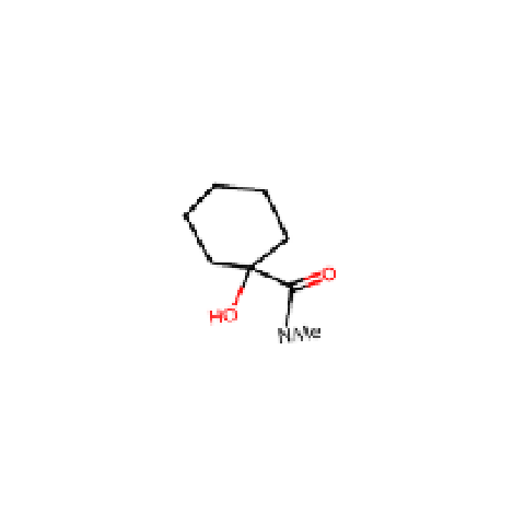 CNC(=O)C1(O)CCCCC1